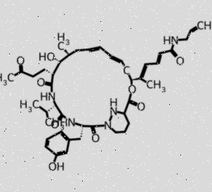 C=CCNC(=O)/C=C/C=C(\C)[C@@H]1C/C=C/C=C/C[C@H](C)[C@@H](O)[C@@H](CCC(C)=O)C(=O)N[C@@H](C(C)C)C(=O)N[C@@H](Cc2cccc(O)c2)C(=O)N2CCCC(N2)C(=O)O1